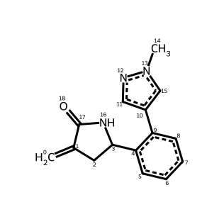 C=C1CC(c2ccccc2-c2cnn(C)c2)NC1=O